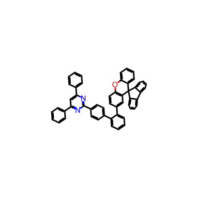 c1ccc(-c2cc(-c3ccccc3)nc(-c3ccc(-c4ccccc4-c4ccc5c(c4)C4(c6ccccc6O5)c5ccccc5-c5ccccc54)cc3)n2)cc1